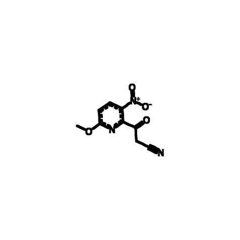 COc1ccc([N+](=O)[O-])c(C(=O)CC#N)n1